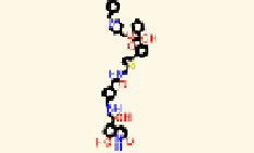 O=C(Cc1ccc(CNC[C@H](O)c2ccc(O)c3[nH]c(=O)ccc23)cc1)NCc1ccc(-c2cccc([C@](O)(C(=O)OCC3CCN(Cc4ccccc4)CC3)c3ccccc3)c2)s1